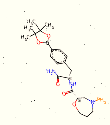 CC1(C)OB(c2ccc(C[C@H](NC(=O)[C@@H]3CN(P)CCCO3)C(N)=O)cc2)OC1(C)C